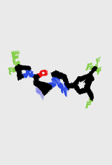 O=C(/C=C\n1ccc(-c2cc(CF)cc(C(F)(F)F)c2)n1)N1CC(F)(F)C1